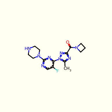 Cc1nc(C(=O)N2CCC2)nn1-c1nc(N2CCNCC2)ncc1F